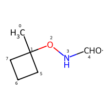 CC1(ON[C]=O)CCC1